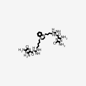 N=C(NCCCCCN1CCN(CCCCNC(=N)NC(=O)c2nc(Cl)c(N)nc2N)c2ccccc21)NC(=O)c1nc(Cl)c(N)nc1N